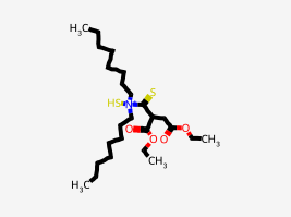 CCCCCCCC[N+](S)(CCCCCCCC)C(=S)C(CC(=O)OCC)C(=O)OCC